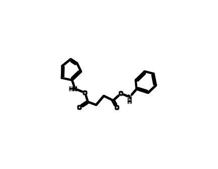 O=C(CCC(=O)ONc1ccccc1)ONc1ccccc1